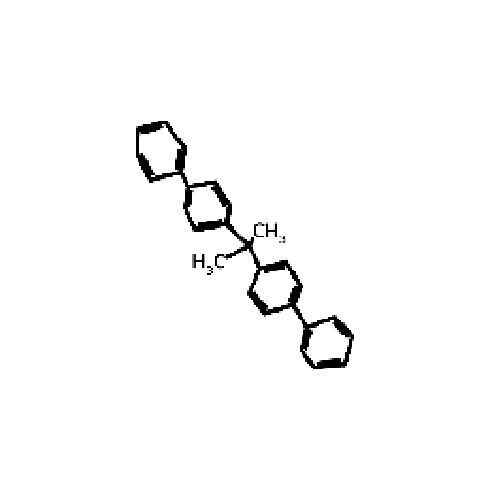 CC(C)(c1ccc(-c2ccccc2)cc1)c1ccc(-c2ccccc2)cc1